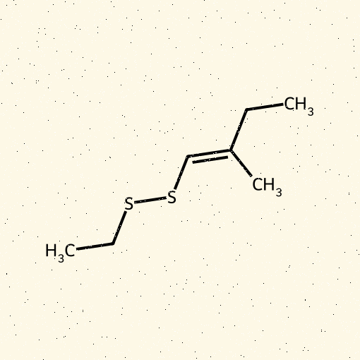 CCSS/C=C(\C)CC